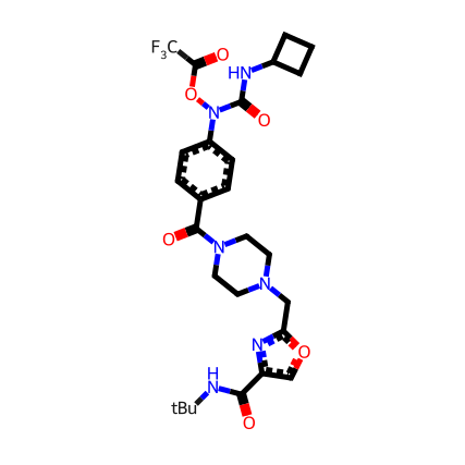 CC(C)(C)NC(=O)c1coc(CN2CCN(C(=O)c3ccc(N(OC(=O)C(F)(F)F)C(=O)NC4CCC4)cc3)CC2)n1